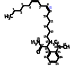 CCCCC/C=C\C/C=C\CCCCCCC(C(N)=O)c1ccccc1N(C)C